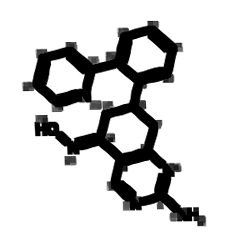 Nc1ncc2c(n1)CC(c1ccccc1-c1ccccn1)CC2=NO